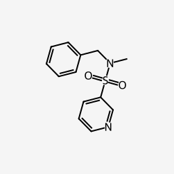 CN(Cc1ccccc1)S(=O)(=O)c1cccnc1